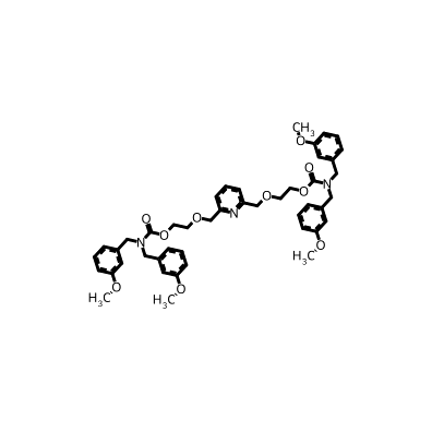 COc1cccc(CN(Cc2cccc(OC)c2)C(=O)OCCOCc2cccc(COCCOC(=O)N(Cc3cccc(OC)c3)Cc3cccc(OC)c3)n2)c1